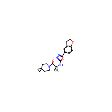 C[C@H](Nc1nnc(-c2ccc3c(c2)CCO3)o1)C(=O)N1CCC2(CC1)CC2